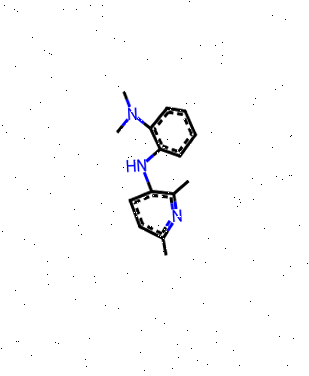 Cc1ccc(Nc2ccccc2N(C)C)c(C)n1